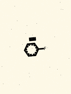 C#C.Fc1ccccc1